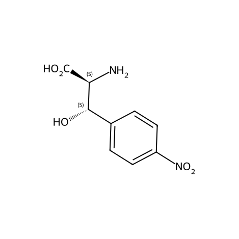 N[C@H](C(=O)O)[C@@H](O)c1ccc([N+](=O)[O-])cc1